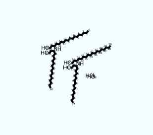 CCCCCCCCCCCCCCCC(CCO)NC(CCO)CCCCCCCCCCCCCCC.CCCCCCCCCCCCCCCC(CCO)NC(CCO)CCCCCCCCCCCCCCC.Cl.Cl